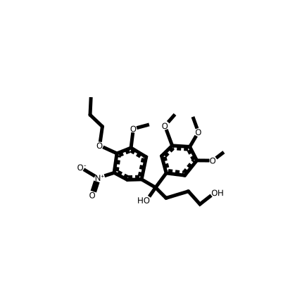 CCCOc1c(OC)cc(C(O)(CCCO)c2cc(OC)c(OC)c(OC)c2)cc1[N+](=O)[O-]